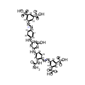 NC(=O)Nc1cc(Nc2nc(O)nc(Nc3ccc(/N=N/c4cc(S(=O)(=O)O)cc(S(=O)(=O)O)c4)cc3)n2)ccc1/N=N/c1cc(S(=O)(=O)O)cc(S(=O)(=O)O)c1